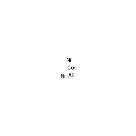 [Al].[Co].[Ni].[Ni]